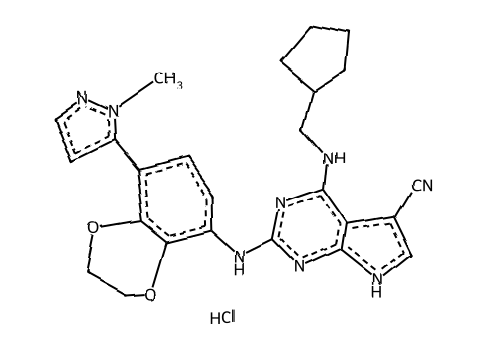 Cl.Cn1nccc1-c1ccc(Nc2nc(NCC3CCCC3)c3c(C#N)c[nH]c3n2)c2c1OCCO2